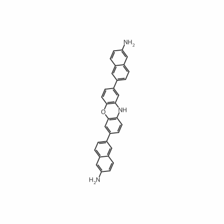 Nc1ccc2cc(-c3ccc4c(c3)Nc3ccc(-c5ccc6cc(N)ccc6c5)cc3O4)ccc2c1